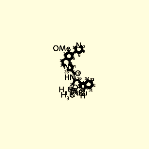 COc1cc2c(cc1-c1cccnc1)-c1cc(C(=O)NC(CO[Si](C)(C)C(C)(C)C)Cc3c[nH]c4ccccc34)cn1CC2